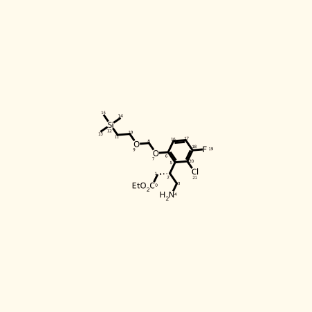 CCOC(=O)C[C@@H](CN)c1c(OCOCC[Si](C)(C)C)ccc(F)c1Cl